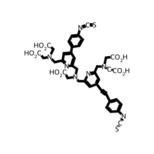 O=C(O)CN(CC(=O)O)Cc1cc(C#Cc2ccc(N=C=S)cc2)cc(CN(CC(=O)O)Cc2cc(-c3ccc(N=C=S)cc3)cc(CN(CC(=O)O)CC(=O)O)n2)n1